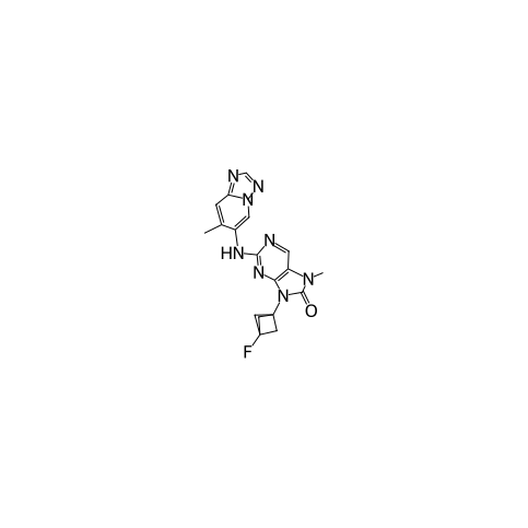 Cc1cc2ncnn2cc1Nc1ncc2c(n1)n(C13CC(F)(C1)C3)c(=O)n2C